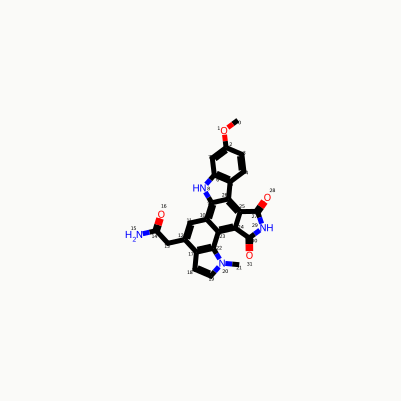 COc1ccc2c(c1)[nH]c1c3cc(CC(N)=O)c4ccn(C)c4c3c3c(c21)C(=O)NC3=O